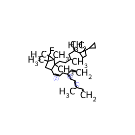 C=C/C(=C\C=C(/C)C=C)C/C=C\C1CC2(C)C(C)(F)C2(C)C1(C)CCC(C)CC(=C)C1CCC1(C)C1CC1